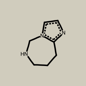 c1cn2c(n1)CCCNC2